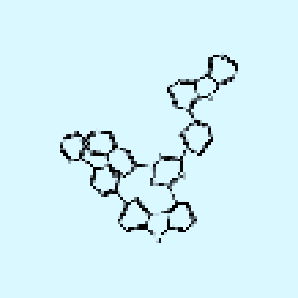 c1ccc(-c2ccc(-c3ccc4sc5cccc(-c6nc(-c7cccc(-c8cccc9c8sc8ccccc89)c7)nc(-c7ccc8ccccc8c7)n6)c5c4c3)cc2)cc1